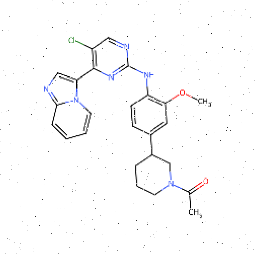 COc1cc(C2CCCN(C(C)=O)C2)ccc1Nc1ncc(Cl)c(-c2cnc3ccccn23)n1